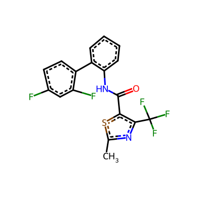 Cc1nc(C(F)(F)F)c(C(=O)Nc2ccccc2-c2ccc(F)cc2F)s1